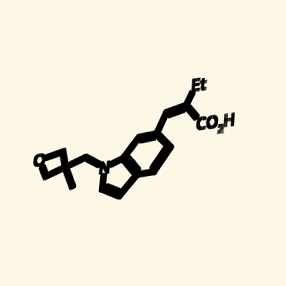 CCC(=Cc1ccc2ccn(CC3(C)COC3)c2c1)C(=O)O